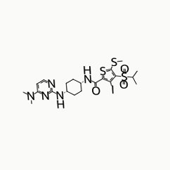 CSc1sc(C(=O)N[C@H]2CC[C@@H](Nc3nccc(N(C)C)n3)CC2)c(I)c1S(=O)(=O)C(C)C